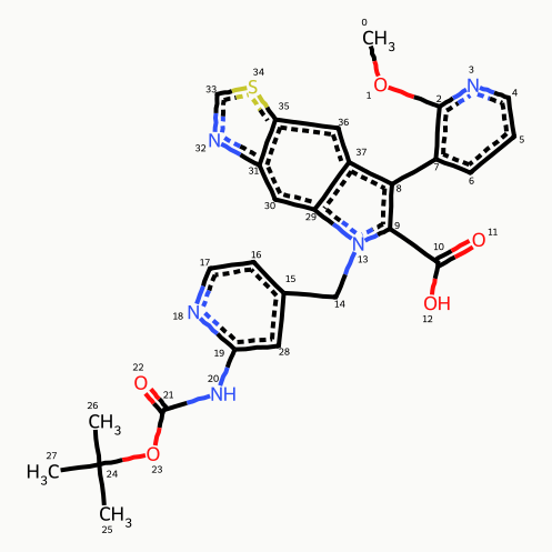 COc1ncccc1-c1c(C(=O)O)n(Cc2ccnc(NC(=O)OC(C)(C)C)c2)c2cc3ncsc3cc12